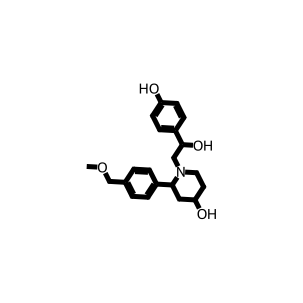 COCc1ccc(C2CC(O)CCN2CC(O)c2ccc(O)cc2)cc1